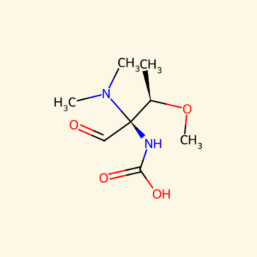 CO[C@H](C)[C@@](C=O)(NC(=O)O)N(C)C